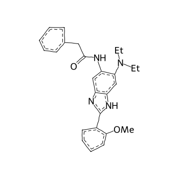 CCN(CC)c1cc2[nH]c(-c3ccccc3OC)nc2cc1NC(=O)Cc1ccccc1